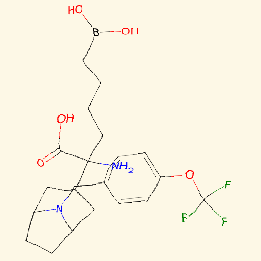 NC(CCCCB(O)O)(C(=O)O)C1CC2CCC(C1)N2Cc1ccc(OC(F)(F)F)cc1